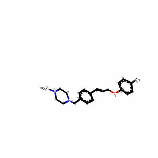 N#Cc1ccc(OC/C=C/c2ccc(CN3CCN(C(=O)O)CC3)cc2)cc1